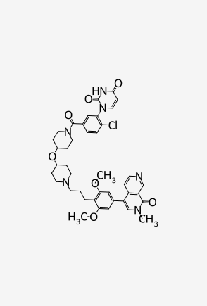 COc1cc(-c2cn(C)c(=O)c3cnccc23)cc(OC)c1CCCN1CCC(OC2CCN(C(=O)c3ccc(Cl)c(-n4ccc(=O)[nH]c4=O)c3)CC2)CC1